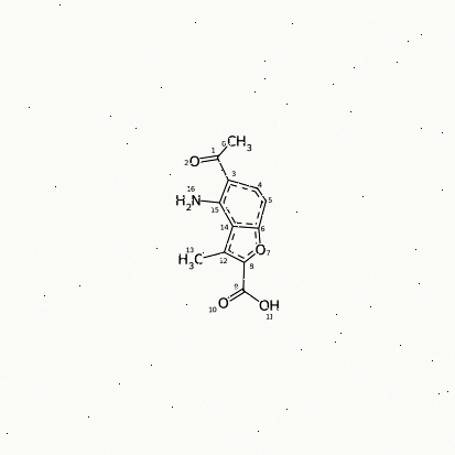 CC(=O)c1ccc2oc(C(=O)O)c(C)c2c1N